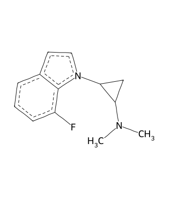 CN(C)C1CC1n1ccc2cccc(F)c21